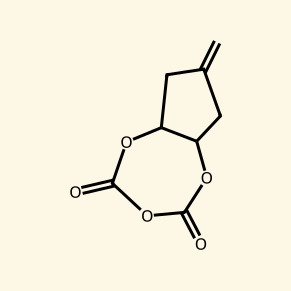 C=C1CC2OC(=O)OC(=O)OC2C1